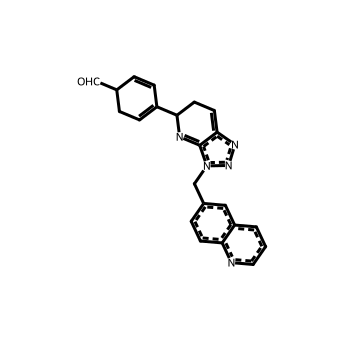 O=CC1C=CC(C2CC=c3nnn(Cc4ccc5ncccc5c4)c3=N2)=CC1